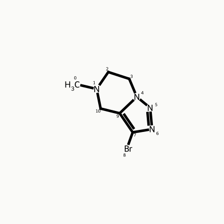 CN1CCn2nnc(Br)c2C1